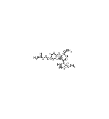 CC(C)(SP)[C@H](NP)C(=O)N[C@@H](Cc1ccc(OCCNP)cc1)C(=O)OP